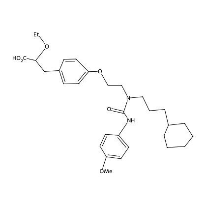 CCOC(Cc1ccc(OCCN(CCCC2CCCCC2)C(=O)Nc2ccc(OC)cc2)cc1)C(=O)O